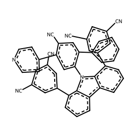 N#Cc1cc(C#N)cc(-c2cccc3c4cccc(-c5cc(C#N)cc(C#N)c5)c4n(-c4cc(-c5ccncc5)c(C#N)cc4-c4ccccc4)c23)c1